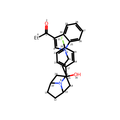 CCC(=O)c1cn(CCCN2C3CCC2CC(O)(c2ccc(F)cc2)C3)c2ccccc12